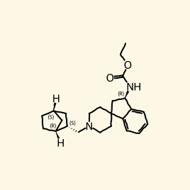 CCOC(=O)N[C@@H]1CC2(CCN(C[C@H]3C[C@H]4CC[C@@H]3C4)CC2)c2ccccc21